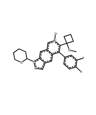 COC1(c2c(-c3ccc(F)c(F)c3)c3cc4cnn(C5CCCCO5)c4cc3c[n+]2[O-])CCC1